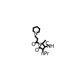 CCCC1C(=O)N(C(=O)CCN2CCCCC2)C2CCNC12